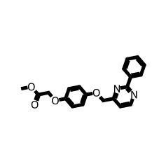 COC(=O)COc1ccc(OCc2ccnc(-c3ccccc3)n2)cc1